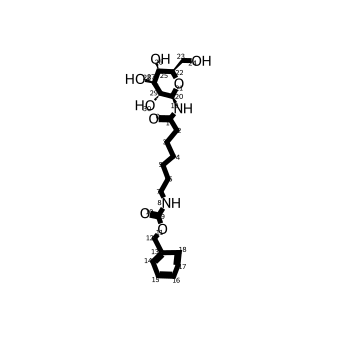 O=C(CCCCCCNC(=O)OCc1ccccc1)N[C@@H]1O[C@H](CO)[C@@H](O)[C@H](O)[C@H]1O